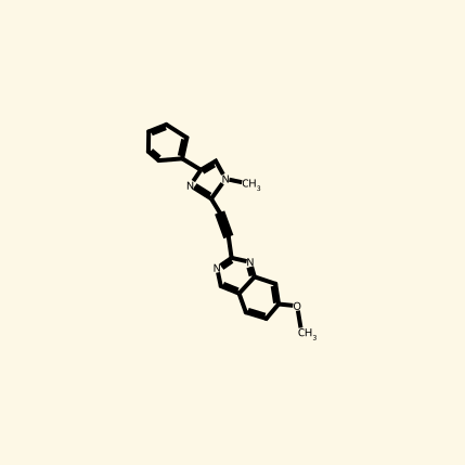 COc1ccc2cnc(C#Cc3nc(-c4ccccc4)cn3C)nc2c1